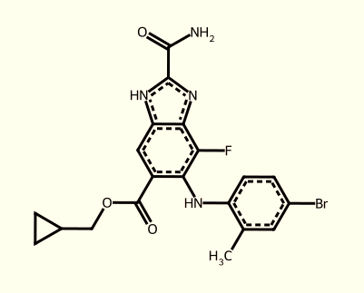 Cc1cc(Br)ccc1Nc1c(C(=O)OCC2CC2)cc2[nH]c(C(N)=O)nc2c1F